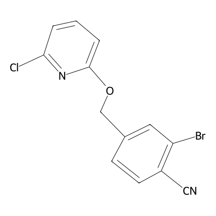 N#Cc1ccc(COc2cccc(Cl)n2)cc1Br